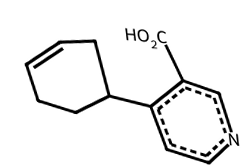 O=C(O)c1cnccc1C1CC=CCC1